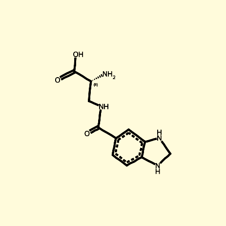 N[C@H](CNC(=O)c1ccc2c(c1)NCN2)C(=O)O